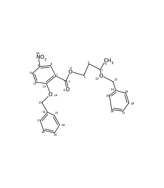 CC(CCOC(=O)c1cc([N+](=O)[O-])ccc1OCc1ccccc1)OCc1ccccc1